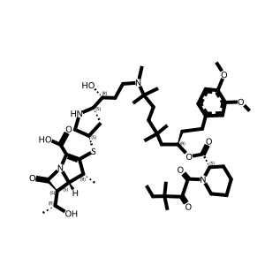 CCC(C)(C)C(=O)C(=O)N1CCCC[C@H]1C(=O)O[C@H](CCc1ccc(OC)c(OC)c1)CC(C)(C)CCC(C)(C)N(C)CC[C@@H](O)[C@@H]1C[C@H](SC2=C(C(=O)O)N3C(=O)[C@H]([C@@H](C)O)[C@H]3[C@H]2C)CN1